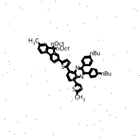 CCCCCCCCC1(CCCCCCCC)c2cc(C)ccc2-c2ccc(-c3ccc(-c4ccc(-c5ccc(C)s5)c5nc(-c6ccc(CCCC)cc6)c(-c6ccc(CCCC)cc6)nc45)s3)cc21